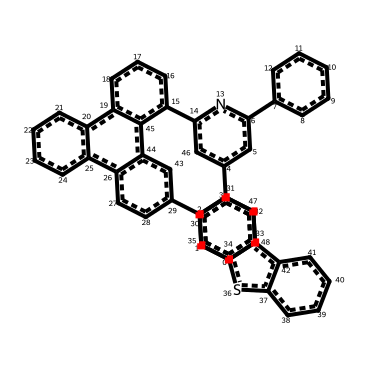 c1ccc(-c2cc(-c3ccccc3)nc(-c3cccc4c5ccccc5c5ccc(-c6ccc7c(c6)sc6ccccc67)cc5c34)c2)cc1